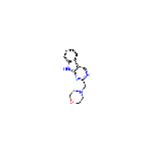 c1ccc2c(c1)[nH]c1nc(CN3CCOCC3)ncc12